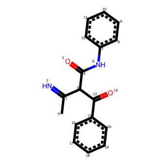 CC(=N)C(C(=O)Nc1ccccc1)C(=O)c1ccccc1